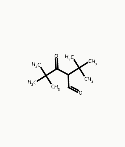 CC(C)(C)C(=O)C([C]=O)C(C)(C)C